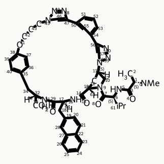 CN[C@@H](C)C(=O)N[C@H](C(=O)N1C[C@@H]2C[C@H]1C(=O)N[C@@H](Cc1ccc3ccccc3c1)C(=O)N[C@H](C(=O)O)Cc1ccc(cc1)OCCCn1cc(nn1)-c1cccc(c1)-c1cn2nn1)C(C)C